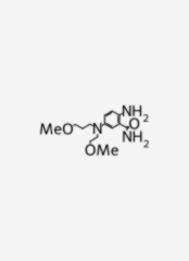 COCCCN(CCOC)c1ccc(N)c(C(N)=O)c1